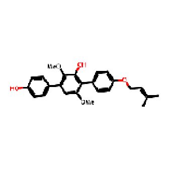 COc1cc(-c2ccc(O)cc2)c(OC)c(O)c1-c1ccc(OCC=C(C)C)cc1